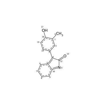 Cc1cc(C2=c3ccccc3=NC2=O)ccc1O